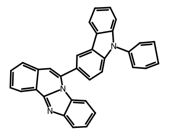 c1ccc(-n2c3ccccc3c3cc(-c4cc5ccccc5c5nc6ccccc6n45)ccc32)cc1